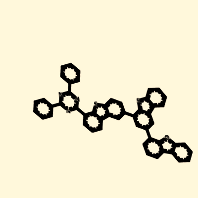 c1ccc(-c2nc(-c3ccccc3)nc(-c3cccc4c3sc3ccc(-c5cc(-c6cccc7c6oc6ccccc67)cc6c5sc5ccccc56)cc34)n2)cc1